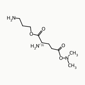 CN(C)OC(=O)CC[C@H](N)C(=O)OCCCN